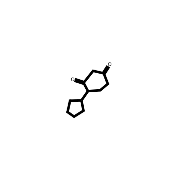 O=C1CCC(C2CCCC2)C(=O)C1